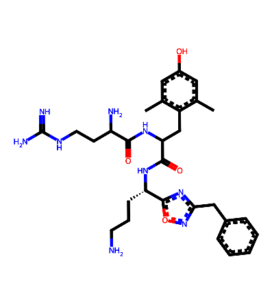 Cc1cc(O)cc(C)c1CC(NC(=O)C(N)CCNC(=N)N)C(=O)N[C@@H](CCCN)c1nc(Cc2ccccc2)no1